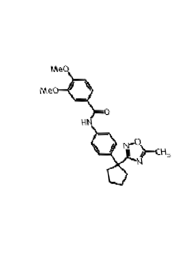 COc1ccc(C(=O)Nc2ccc(C3(c4noc(C)n4)CCCC3)cc2)cc1OC